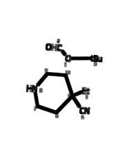 CC(C)(C)OC=O.CCC1(C#N)CCNCC1